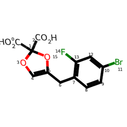 O=C(O)C1(C(=O)O)OC=C(Cc2ccc(Br)cc2F)O1